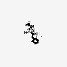 N[C@@H](Cc1ccccc1)C(O)NS(=O)(=O)C1CC1